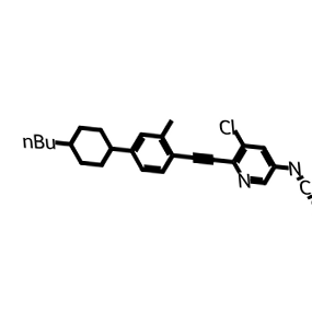 CCCCC1CCC(c2ccc(C#Cc3ncc(N=C=S)cc3Cl)c(C)c2)CC1